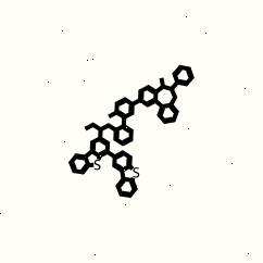 CCC(Cc1ccccc1-c1cc(-c2ccc3c(c2)-c2ccccc2CC(c2ccccc2)C3C)ccc1C)c1cc(-c2ccc3sc4ccccc4c3c2)c2sc3ccccc3c2c1